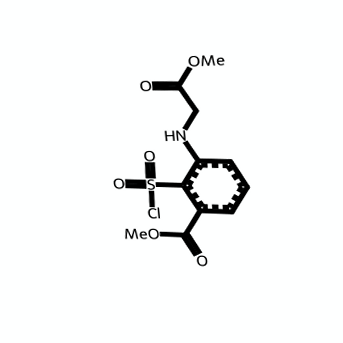 COC(=O)CNc1cccc(C(=O)OC)c1S(=O)(=O)Cl